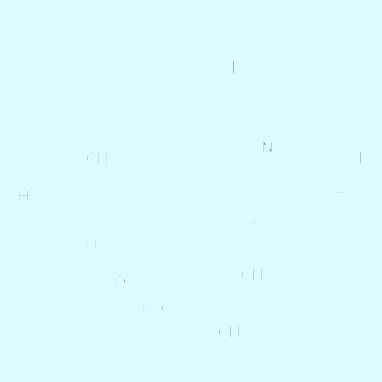 CC(=O)N(Sc1cc(C(C)(C)C)c(O)c(C(C)(C)C)c1)c1c(Cl)cccc1Cl